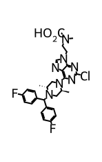 C[C@@H]1CN(c2nc(Cl)nc3c2ncn3CCN(C)C(=O)O)[C@@H](C)CN1C(c1ccc(F)cc1)c1ccc(F)cc1